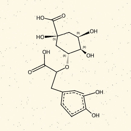 O=C(O)C(Cc1ccc(O)c(O)c1)O[C@@H]1C[C@](O)(C(=O)O)C[C@@H](O)[C@H]1O